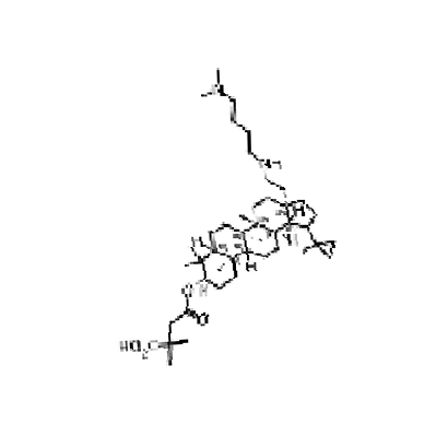 CN(C)CCCCNCC[C@]12CCC(C3(C)CC3)[C@@H]1[C@H]1CC[C@@H]3[C@@]4(C)CC[C@H](OC(=O)CC(C)(C)C(=O)O)C(C)(C)[C@@H]4CC[C@@]3(C)[C@]1(C)CC2